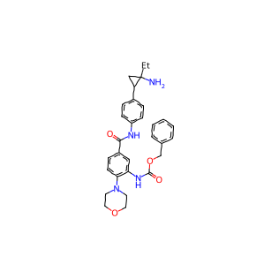 CCC1(N)CC1c1ccc(NC(=O)c2ccc(N3CCOCC3)c(NC(=O)OCc3ccccc3)c2)cc1